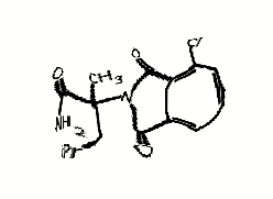 CC(C)CC(C)(C(N)=O)N1C(=O)c2cccc(Cl)c2C1=O